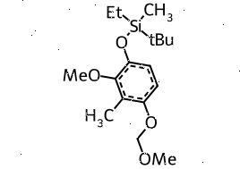 CC[Si](C)(Oc1ccc(OCOC)c(C)c1OC)C(C)(C)C